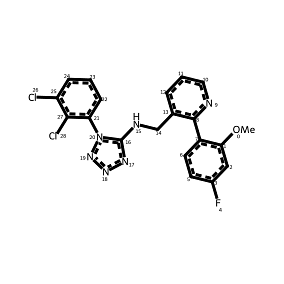 COc1cc(F)ccc1-c1ncccc1CNc1nnnn1-c1cccc(Cl)c1Cl